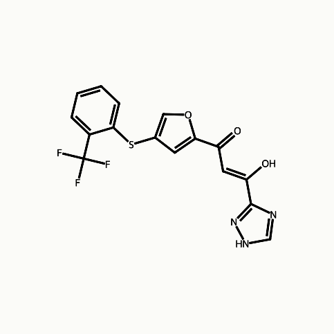 O=C(C=C(O)c1nc[nH]n1)c1cc(Sc2ccccc2C(F)(F)F)co1